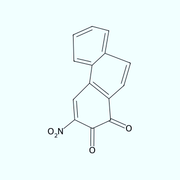 O=C1C(=O)c2ccc3ccccc3c2C=C1[N+](=O)[O-]